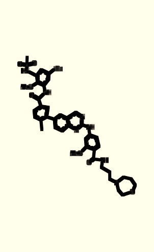 COc1cc(Nc2ncc3cc(-c4cc(C(=O)Nc5cc(C(C)(C)C)cc(NS(C)(=O)=O)c5OC)ccc4C)ccc3n2)ccc1C(=O)NCCCN1CCCOCC1